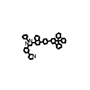 c1ccc(-c2nc(-c3cccc(-c4cccnc4)c3)cc(-c3ccc(-c4ccc(-c5ccc6c(c5)-c5ccccc5C6(c5ccccc5)c5ccccc5)cc4)c4ccccc34)n2)cc1